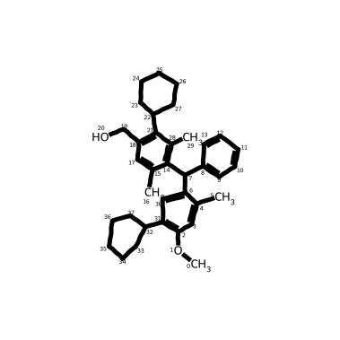 COc1cc(C)c(C(c2ccccc2)c2c(C)cc(CO)c(C3CCCCC3)c2C)cc1C1CCCCC1